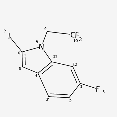 Fc1c[c]c2cc(I)n(CC(F)(F)F)c2c1